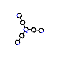 c1cncc(-c2ccc(-c3cc(-c4ccc(-c5cccnc5)cc4)nc(-c4ccc(-c5cccnc5)cc4)n3)cc2)c1